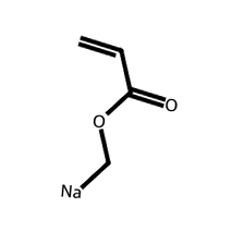 C=CC(=O)O[CH2][Na]